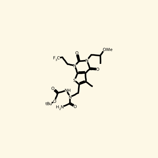 COC(C)Cn1c(=O)c2c(C)c(CN(NC(=O)OC(C)(C)C)C(N)=O)sc2n(CCC(F)(F)F)c1=O